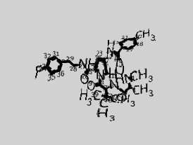 CN[C@@H](C)C(=O)N[C@H](C(=O)N1C[C@@H](NC(=O)c2ccc(C)cc2)C[C@H]1C(=O)NCCc1ccc(F)cc1)C(C)(C)C